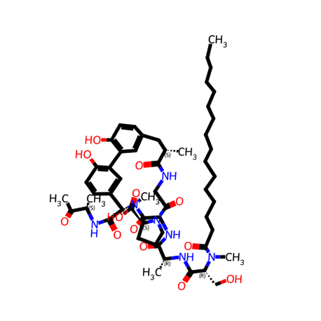 CCCCCCCCCCCCCCCC(=O)N(C)[C@H](CO)C(=O)N[C@H](C)C(=O)NCC(=O)N(C)[C@H](C(=O)N[C@@H](C)C(C)=O)c1ccc(O)c(-c2cc(C[C@H](C)C(=O)NCC(=O)N3CCC[C@H]3C(=O)O)ccc2O)c1